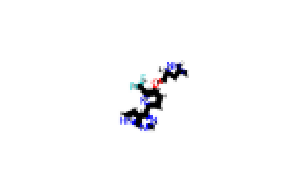 CC(C)C[C@](C)(N)COc1ccc(-c2ncnc3[nH]ccc23)nc1C(F)F